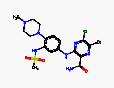 CCc1nc(C(N)=O)c(Nc2ccc(N3CCN(C)CC3)c(NS(C)(=O)=O)c2)nc1Cl